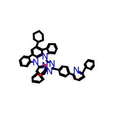 c1ccc(-c2cccc(-c3ccc(-c4nc(-c5ccccc5)nc(-n5c6ccccc6c6c(C7CCCCC7)cc7c8ccccc8n(-c8ccccc8)c7c65)n4)cc3)n2)cc1